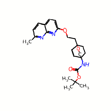 Cc1ccc2ccc(OCCC34CCC(NC(=O)OC(C)(C)C)(CC3)CO4)nc2n1